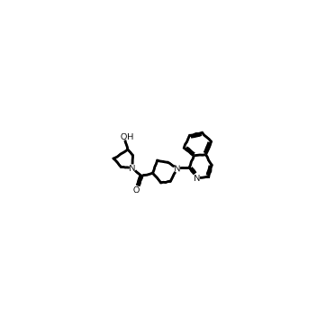 O=C(C1CCN(c2nccc3ccccc23)CC1)N1CCC(O)C1